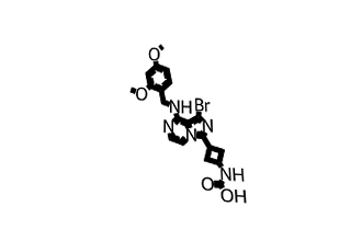 COc1ccc(CNc2nccn3c(C4CC(NC(=O)O)C4)nc(Br)c23)c(OC)c1